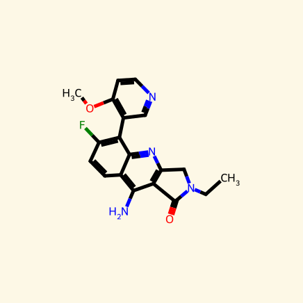 CCN1Cc2nc3c(-c4cnccc4OC)c(F)ccc3c(N)c2C1=O